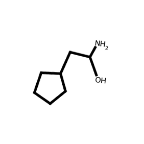 NC(O)CC1CCCC1